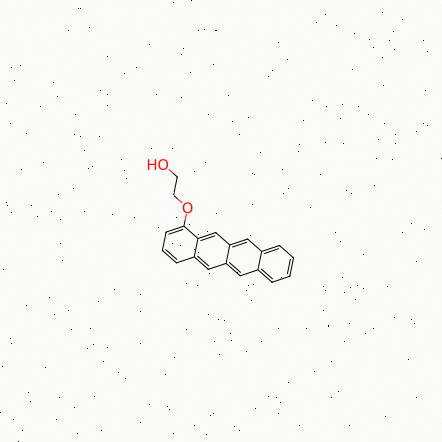 OCCOc1cccc2cc3cc4ccccc4cc3cc12